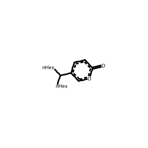 CCCCCCC(CCCCCC)c1ccc(=O)oc1